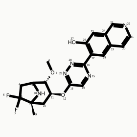 CO[C@H]1C2CC(F)(F)[C@@](C)(C[C@@H]1Oc1cnc(-c3cc4ccncc4cc3O)nn1)N2